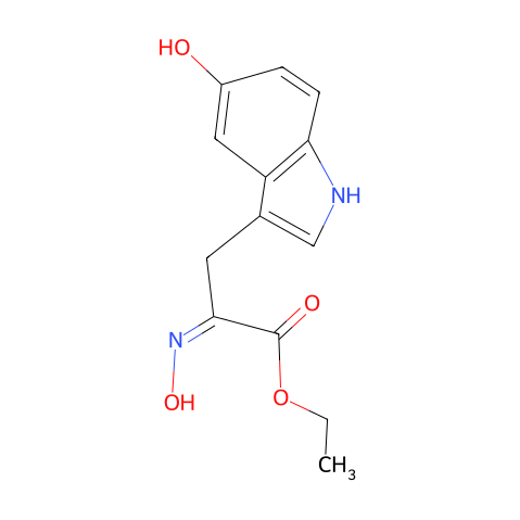 CCOC(=O)/C(Cc1c[nH]c2ccc(O)cc12)=N\O